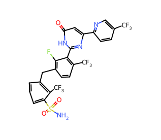 NS(=O)(=O)c1cccc(Cc2ccc(C(F)(F)F)c(-c3nc(-c4ccc(C(F)(F)F)cn4)cc(=O)[nH]3)c2F)c1C(F)(F)F